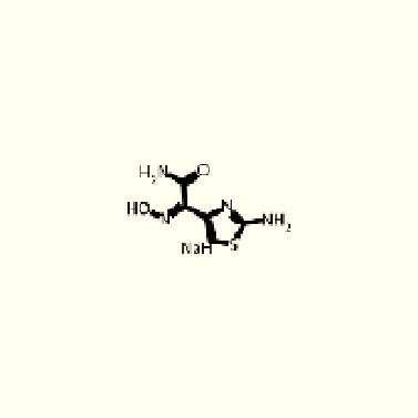 NC(=O)C(=NO)c1csc(N)n1.[NaH]